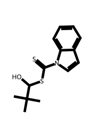 CC(C)(C)C(O)SC(=S)n1ccc2ccccc21